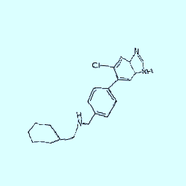 ClC1=CC2N=CNC2C=C1c1ccc(CNCC2CCCCC2)cc1